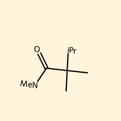 CNC(=O)C(C)(C)C(C)C